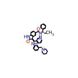 CC[C@@H](NC(=O)c1ccc2c(c1)/C(=C(/Nc1cccc(CN3CCCCC3)c1)c1cccnc1)C(=O)N2)c1ccccc1